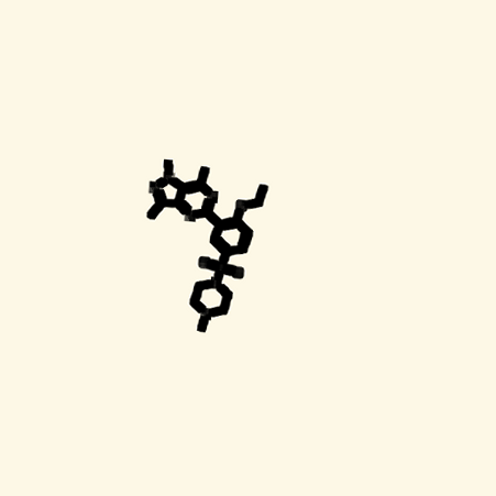 CCOc1ccc(S(=O)(=O)N2CCN(C)CC2)cc1-c1nc(C)c2c(n1)c(C)nn2C